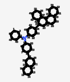 c1ccc(N(c2ccc(-c3ccc4ccccc4c3)cc2)c2ccc(-c3cc4ccc5ccccc5c4c4ccccc34)cc2)cc1